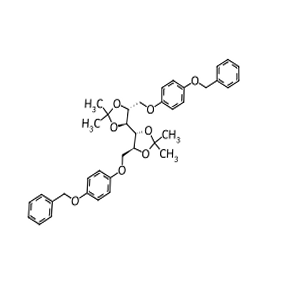 CC1(C)O[C@@H]([C@H]2OC(C)(C)O[C@@H]2COc2ccc(OCc3ccccc3)cc2)[C@H](COc2ccc(OCc3ccccc3)cc2)O1